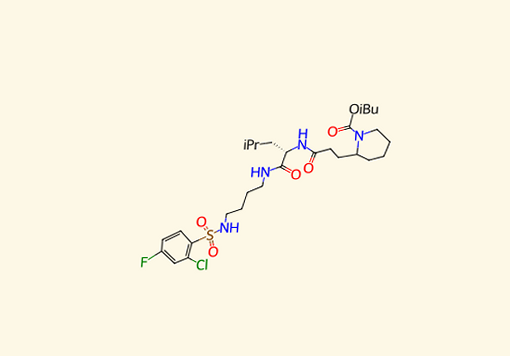 CC(C)COC(=O)N1CCCCC1CCC(=O)N[C@@H](CC(C)C)C(=O)NCCCCNS(=O)(=O)c1ccc(F)cc1Cl